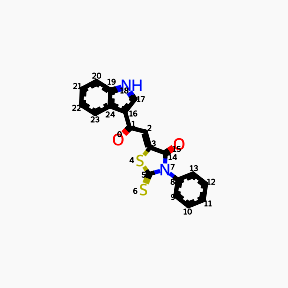 O=C(/C=C1\SC(=S)N(c2ccccc2)C1=O)c1c[nH]c2ccccc12